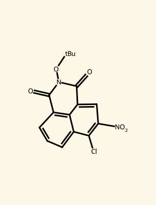 CC(C)(C)ON1C(=O)c2cccc3c(Cl)c([N+](=O)[O-])cc(c23)C1=O